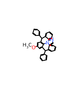 COc1cc(C(c2ccccc2)c2ccccc2)c(-n2ccnc2)c(C(c2ccccc2)c2ccccc2)c1